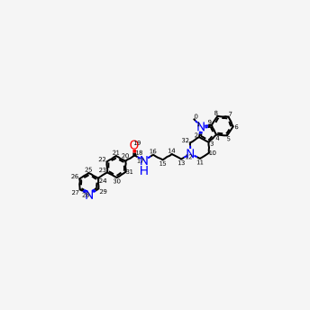 Cn1c2c(c3ccccc31)CCN(CCCCNC(=O)c1ccc(-c3cccnc3)cc1)C2